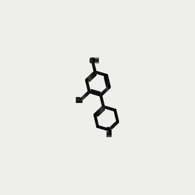 CCc1cc(O)ccc1C1=CCNCC1